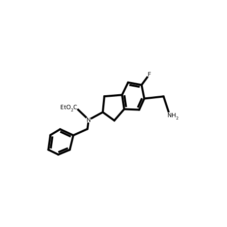 CCOC(=O)N(Cc1ccccc1)C1Cc2cc(F)c(CN)cc2C1